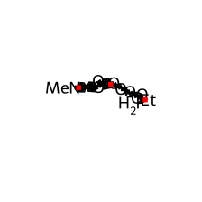 CCC(P)C(=O)OCCOCCOCCOc1ccc(C(=O)Oc2ccc(-c3ccc(NC)cc3)cc2)cc1